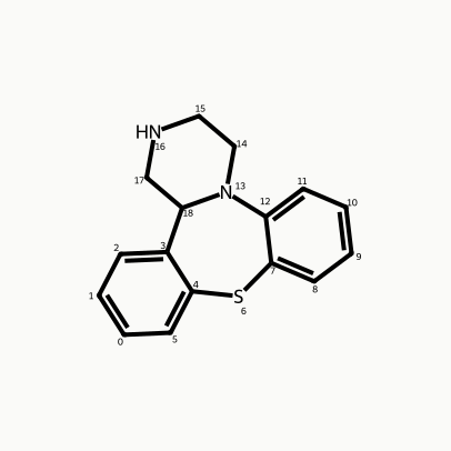 c1ccc2c(c1)Sc1ccccc1N1CCNCC21